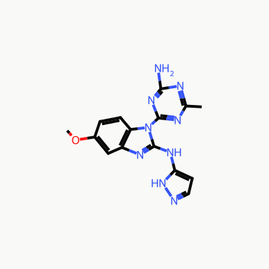 COc1ccc2c(c1)nc(Nc1ccn[nH]1)n2-c1nc(C)nc(N)n1